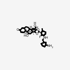 Cc1ccc(NCc2cccc(N)c2)c(F)c1[C@@H]1O[C@@H]2C[C@H]3[C@@H]4CCC5=CC(=O)C=C[C@]5(C)[C@H]4[C@@H](O)C[C@]3(C)[C@]2(C(=O)CO)O1